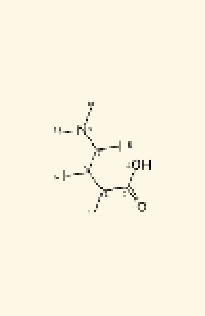 CC(C(=O)O)C(I)C(I)N(C)C